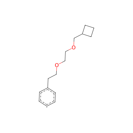 [c]1ccc(CCOCCOCC2CCC2)cc1